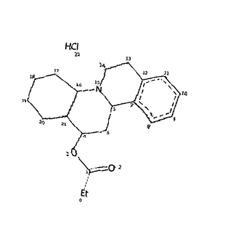 CCC(=O)OC1CC2c3ccccc3CCN2C2CCCCC12.Cl